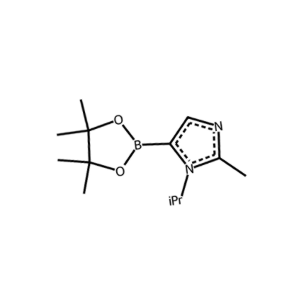 Cc1ncc(B2OC(C)(C)C(C)(C)O2)n1C(C)C